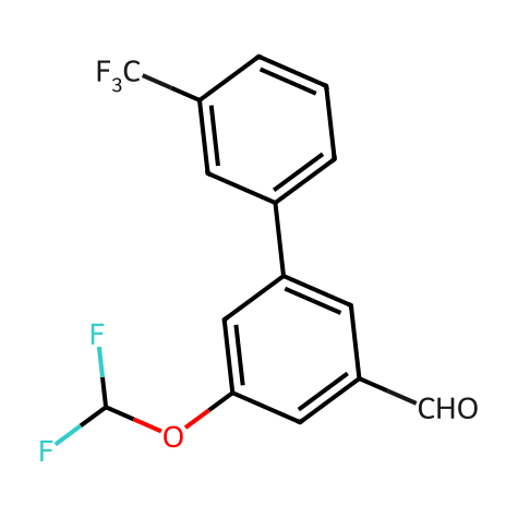 O=Cc1cc(OC(F)F)cc(-c2cccc(C(F)(F)F)c2)c1